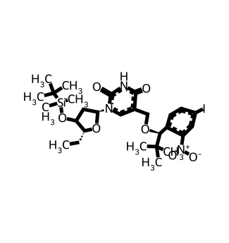 CC[C@H]1O[C@@H](n2cc(CO[C@@H](c3ccc(I)cc3[N+](=O)[O-])C(C)(C)C)c(=O)[nH]c2=O)CC1O[Si](C)(C)C(C)(C)C